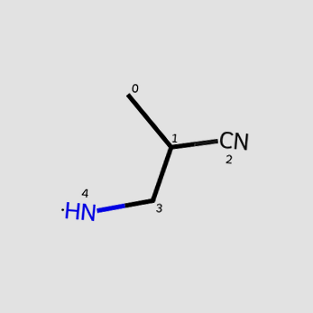 CC(C#N)C[NH]